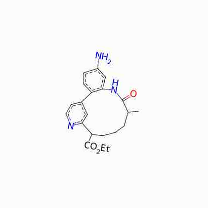 CCOC(=O)C1CCCC(C)C(=O)Nc2cc(N)ccc2-c2ccnc1c2